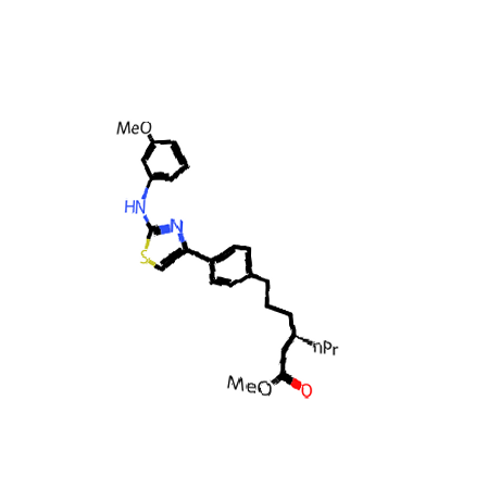 CCC[C@H](CCCc1ccc(-c2csc(Nc3cccc(OC)c3)n2)cc1)CC(=O)OC